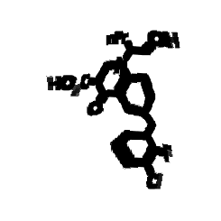 CCCC(CO)n1cc(C(=O)O)c(=O)c2cc(Cc3cccc(Cl)c3F)ccc21